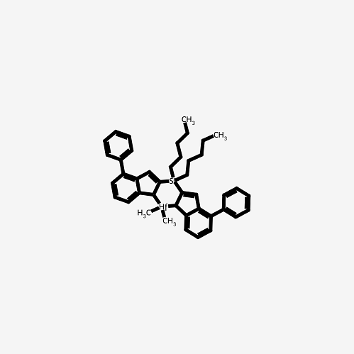 CCCCC[Si]1(CCCCC)C2=Cc3c(-c4ccccc4)cccc3[CH]2[Hf]([CH3])([CH3])[CH]2C1=Cc1c(-c3ccccc3)cccc12